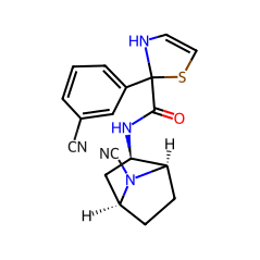 N#Cc1cccc(C2(C(=O)N[C@@H]3C[C@@H]4CC[C@H]3N4C#N)NC=CS2)c1